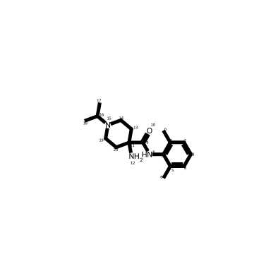 Cc1cccc(C)c1NC(=O)C1(N)CCN(C(C)C)CC1